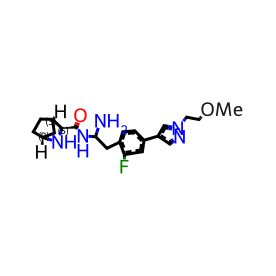 COCCn1cc(-c2ccc(CC(N)NC(=O)[C@H]3N[C@@H]4CC[C@H]3C4)c(F)c2)cn1